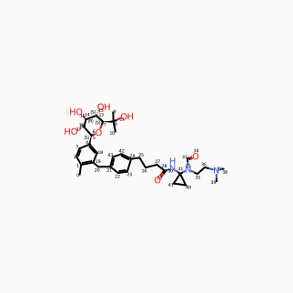 Cc1ccc([C@@H]2O[C@H](C(C)(C)O)[C@@H](O)[C@H](O)[C@H]2O)cc1Cc1ccc(CCCC(=O)NC2(N(C=O)CCN(C)C)CC2)cc1